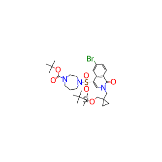 CC(C)(C)OC(=O)N1CCCN(S(=O)(=O)c2cn(CC3(CO[Si](C)(C)C(C)(C)C)CC3)c(=O)c3ccc(Br)cc23)CC1